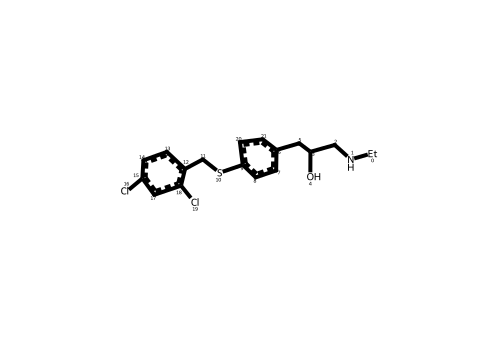 CCNCC(O)Cc1ccc(SCc2ccc(Cl)cc2Cl)cc1